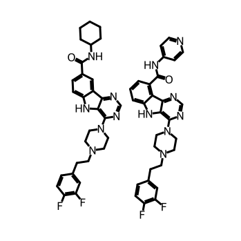 O=C(NC1CCCCC1)c1ccc2[nH]c3c(N4CCN(CCc5ccc(F)c(F)c5)CC4)ncnc3c2c1.O=C(Nc1ccncc1)c1cccc2[nH]c3c(N4CCN(CCc5ccc(F)c(F)c5)CC4)ncnc3c12